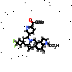 COC(=O)c1ccc(C2CC3(CCN2Cc2c(C4CC4)cc(C)c4c2ccn4C(=O)O)CC(F)(F)C3)cn1